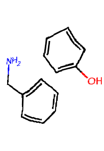 NCc1ccccc1.Oc1ccccc1